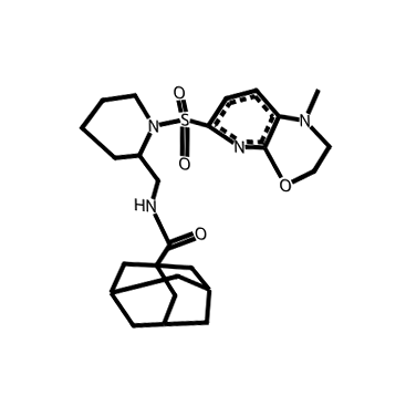 CN1CCOc2nc(S(=O)(=O)N3CCCCC3CNC(=O)C34CC5CC(CC(C5)C3)C4)ccc21